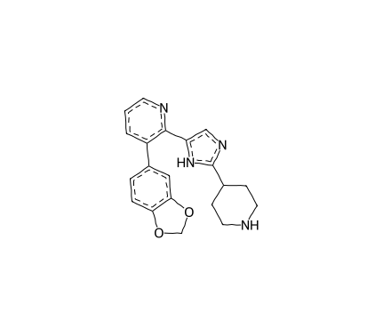 c1cnc(-c2cnc(C3CCNCC3)[nH]2)c(-c2ccc3c(c2)OCO3)c1